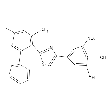 Cc1cc(C(F)(F)F)c(-c2nc(-c3cc(O)c(O)c([N+](=O)[O-])c3)cs2)c(-c2ccccc2)n1